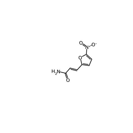 NC(=O)C=Cc1ccc([N+](=O)[O-])o1